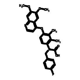 COc1cc2nccc(Oc3ccc(N(Cc4ccc(F)cc4)C(=O)O)c(C)c3C)c2cc1OC